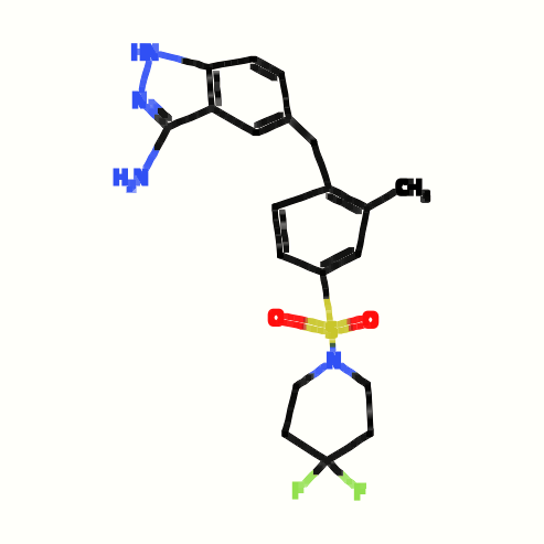 Cc1cc(S(=O)(=O)N2CCC(F)(F)CC2)ccc1Cc1ccc2[nH]nc(N)c2c1